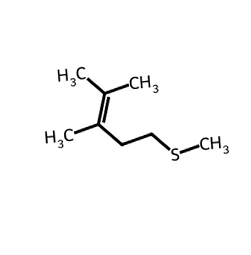 CSCCC(C)=C(C)C